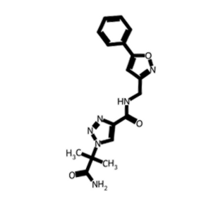 CC(C)(C(N)=O)n1cc(C(=O)NCc2cc(-c3ccccc3)on2)nn1